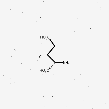 N[C@@H](CCC(=O)O)C(=O)O.[C]